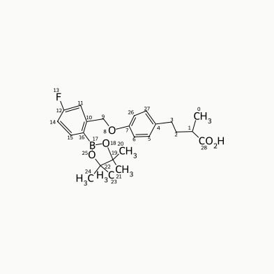 CC(CCc1ccc(OCc2cc(F)ccc2B2OC(C)(C)C(C)(C)O2)cc1)C(=O)O